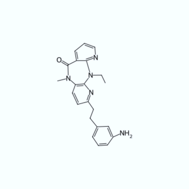 CCN1c2ncccc2C(=O)N(C)c2ccc(CCc3cccc(N)c3)nc21